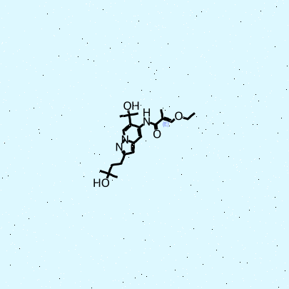 CCO/C=C(\C)C(=O)Nc1cc2cc(CCC(C)(C)O)nn2cc1C(C)(C)O